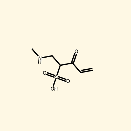 C=CC(=O)C(CNC)S(=O)(=O)O